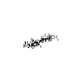 C=C(C)C(=O)OCCNC(=O)OCCOC(=O)C(C)(CC(C)(C)C)CC(C)(CC)C(=O)OCO